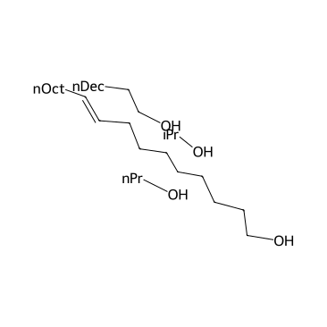 CC(C)O.CCCCCCCCC=CCCCCCCCCO.CCCCCCCCCCCCO.CCCO